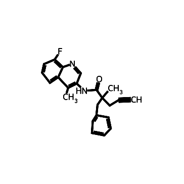 C#CCC(C)(Cc1ccccc1)C(=O)Nc1cnc2c(F)cccc2c1C